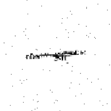 CCCCCCCCCCCCCCCCCCC=C(CCCCCCCCCCCCCCCCCC)C(N)=O